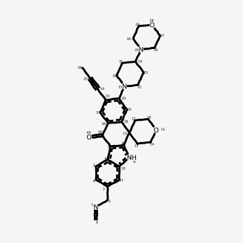 C=NCc1ccc2c3c([nH]c2c1)C1(CCOCC1)c1cc(N2CCC(N4CCOCC4)CC2)c(C#CC)cc1C3=O